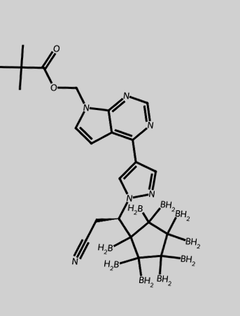 BC1(B)C(B)(B)C(B)(B)C(B)([C@@H](CC#N)n2cc(-c3ncnc4c3ccn4COC(=O)C(C)(C)C)cn2)C1(B)B